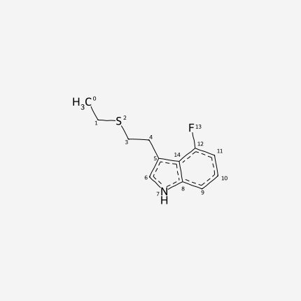 CCSCCc1c[nH]c2cccc(F)c12